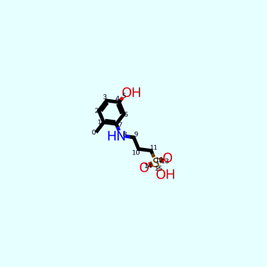 Cc1ccc(O)cc1NCCCS(=O)(=O)O